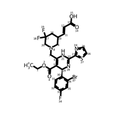 CCOC(=O)C1=C(CN2CC(/C=C/C(=O)O)CC(F)(F)C2)NC(c2nccs2)=N[C@H]1c1ccc(F)cc1Br